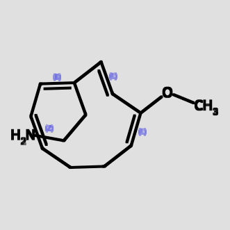 COC1=C\CC\C=C/C=C(CCN)/C=C/1